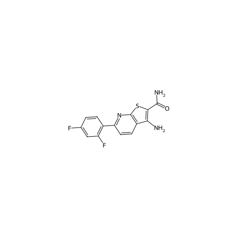 NC(=O)c1sc2nc(-c3ccc(F)cc3F)ccc2c1N